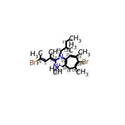 C#[N+]/C(=C(C)\C=C(/C)Br)N(CC(C)CC)C1=C(C)CC(C)=C(Br)C(C)=C1